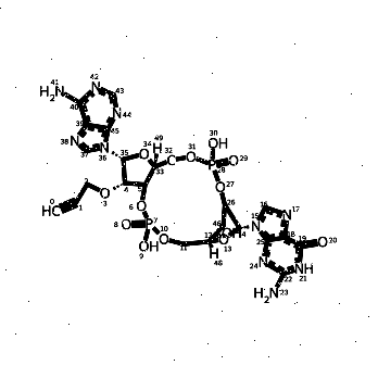 C#CCO[C@H]1C2OP(=O)(O)OC[C@H]3O[C@@H](n4cnc5c(=O)[nH]c(N)nc54)C(OP(=O)(O)OC[C@H]2O[C@H]1n1cnc2c(N)ncnc21)C3O